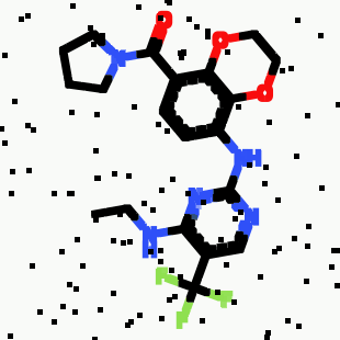 CCNc1nc(Nc2ccc(C(=O)N3CCCC3)c3c2OCCO3)ncc1C(F)(F)F